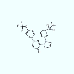 CN(C)S(=O)(=O)c1cccc(N2N=CCC2c2nn(-c3ccc(OC(F)(F)F)cc3)ccc2=O)c1